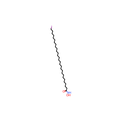 O=C(CCCCCCCCCCCCCCCCCCCCCCCCCCCCI)NO